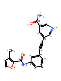 Cc1ccoc1C(=O)Nc1cccc(C#Cc2cncc(C(N)=O)c2)c1